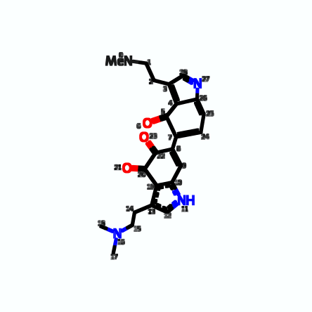 CNCCC1=C2C(=O)C(C3=Cc4[nH]cc(CCN(C)C)c4C(=O)C3=O)=CC=C2N=C1